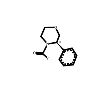 O=C(Cl)N1CCOC[C@H]1c1ccccc1